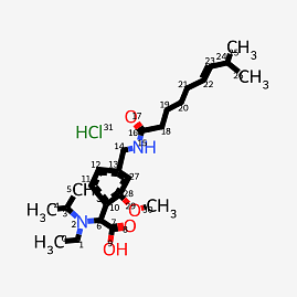 CCN(C(C)C)C(C(=O)O)c1ccc(CNC(=O)CCCC/C=C/C(C)C)cc1OC.Cl